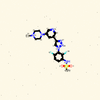 CCCS(=O)(=O)Nc1ccc(F)c(-n2cc(-c3cncc(N4CCN(CC)CC4)c3)nn2)c1F